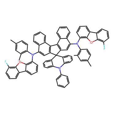 Cc1ccc(N(c2cc3c(c4ccccc24)-c2c(cc(N(c4ccc(C)cc4C)c4cccc5c4oc4c(F)cccc45)c4ccccc24)C32c3ccccc3N(c3ccccc3)c3ccccc32)c2cccc3c2oc2c(F)cccc23)c(C)c1